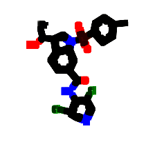 Cc1ccc(S(=O)(=O)n2cc(C(O)C(C)C)c3ccc(C(=O)Nc4c(Cl)cncc4Cl)cc32)cc1